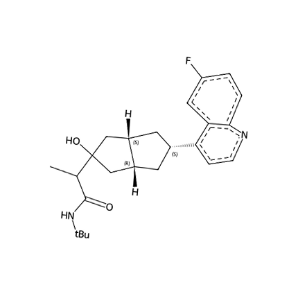 CC(C(=O)NC(C)(C)C)C1(O)C[C@H]2C[C@@H](c3ccnc4ccc(F)cc34)C[C@H]2C1